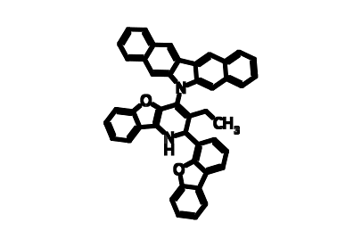 CCC1=C(n2c3cc4ccccc4cc3c3cc4ccccc4cc32)c2oc3ccccc3c2NC1c1cccc2c1oc1ccccc12